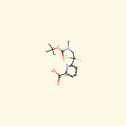 CN(CC(F)(F)c1cccc(C(=O)O)n1)C(=O)OC(C)(C)C